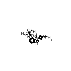 CO[C@H]1C[C@@H](S(=O)(=O)c2c(Cl)ccc3nc(C(C)(C)C)oc23)C1